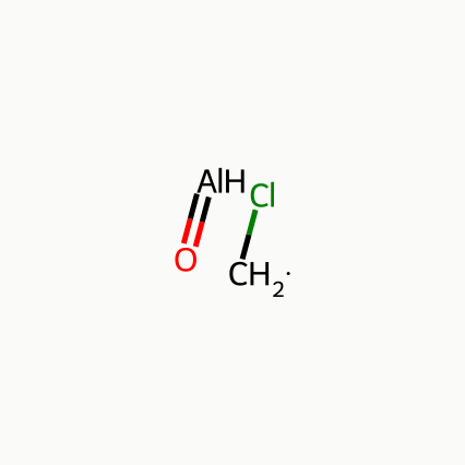 [CH2]Cl.[O]=[AlH]